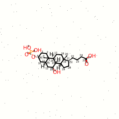 C[C@]12CC[C@@H](OP(=O)(O)O)C[C@H]1C[C@H](O)[C@@H]1[C@@H]2CC[C@]2(C)[C@@H](CCCC(=O)O)CC[C@@H]12